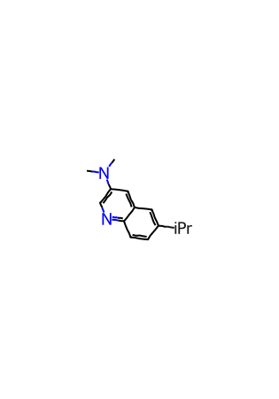 CC(C)c1ccc2ncc(N(C)C)cc2c1